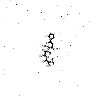 CC[C@H](C)[C@@H]([C@@H](CC(=O)N1CCC[C@H]1C)OC)N(C)C(=O)[C@@H](NC(=O)[C@H](C(C)C)N(C)C)C(C)C